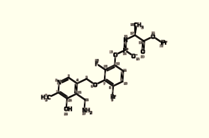 Cc1ncc(COc2c(Br)ccc(O[P+]([O-])=N[C@@H](C)C(=O)OC(C)C)c2F)c(CN)c1O